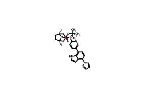 CN(c1ccc(-c2ccc(-n3cccn3)c3cc[nH]c23)nn1)[C@@H]1C[C@H]2CC[C@@H](C1)N2C(=O)OC(C)(C)C